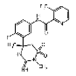 CN1C(=N)N[C@](C)(c2cc(NC(=O)c3ncccc3C(F)(F)F)ccc2F)CS1(=O)=O